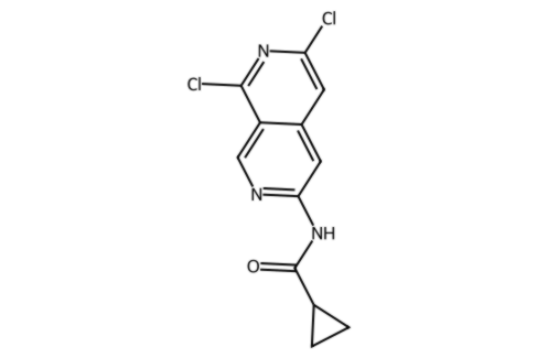 O=C(Nc1cc2cc(Cl)nc(Cl)c2cn1)C1CC1